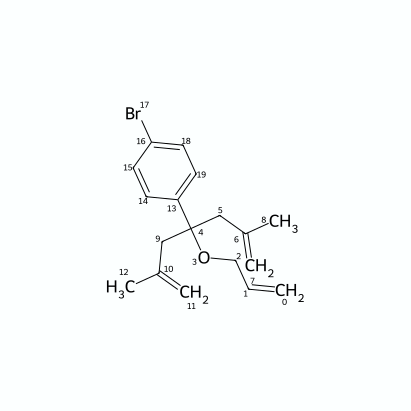 C=CCOC(CC(=C)C)(CC(=C)C)c1ccc(Br)cc1